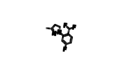 CC1=NN(c2cc(F)ccc2C(F)F)CC1